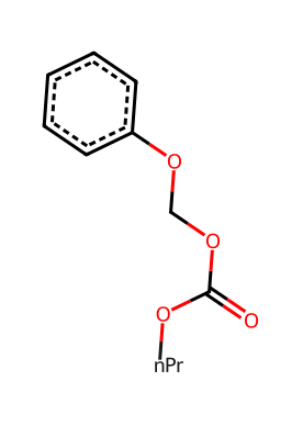 CCCOC(=O)OCOc1ccccc1